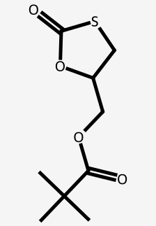 CC(C)(C)C(=O)OCC1CSC(=O)O1